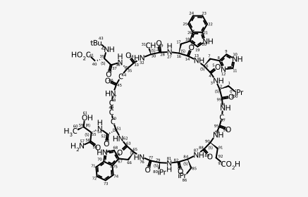 CC(C)C[C@@H]1NC(=O)[C@H](Cc2c[nH]cn2)NC(=O)[C@H](Cc2c[nH]c3ccccc23)NC(=O)[C@H](C)NC(=O)[C@@H](NC(=O)[C@H](CC(=O)O)NC(C)(C)C)CC(=O)NCCC[C@@H](C(=O)N[C@H](C(N)=O)[C@@H](C)O)NC(=O)[C@H](Cc2c[nH]c3ccccc23)NC(=O)[C@H](C(C)C)NC(=O)[C@H](CC(C)C)NC(=O)[C@H](CCC(=O)O)NC(=O)CNC1=O